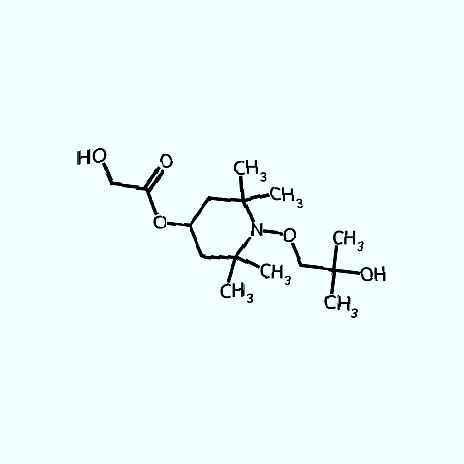 CC(C)(O)CON1C(C)(C)CC(OC(=O)CO)CC1(C)C